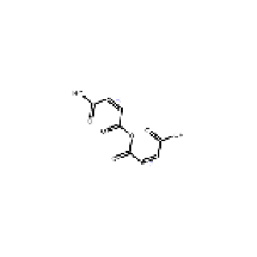 O=C(O)/C=C\C(=O)OC(=O)/C=C\C(=O)O